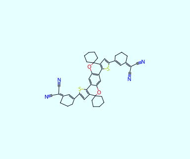 N#CC(C#N)=C1C=C(c2cc3c(s2)-c2cc4c(cc2OC32CCCCC2)-c2sc(C3=CC(=C(C#N)C#N)CCC3)cc2C2(CCCCC2)O4)CCC1